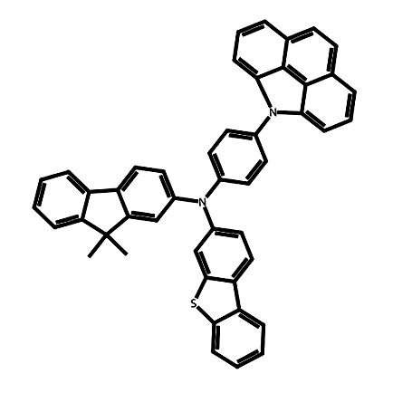 CC1(C)c2ccccc2-c2ccc(N(c3ccc(-n4c5cccc6ccc7cccc4c7c65)cc3)c3ccc4c(c3)sc3ccccc34)cc21